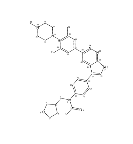 CC(=O)N(CC1CCOC1)c1ccc(-c2c[nH]c3nnc(-c4cc(C)c(N5CCN(C)CC5)c(C)c4)cc23)cc1